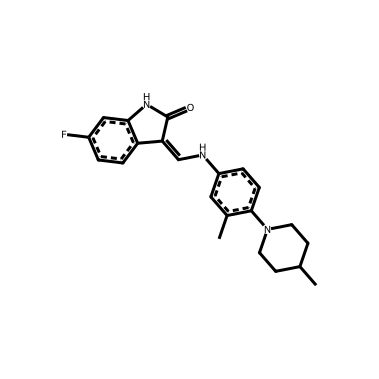 Cc1cc(NC=C2C(=O)Nc3cc(F)ccc32)ccc1N1CCC(C)CC1